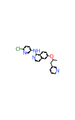 CC(Cc1cccnc1)Oc1ccc2c(Nc3ccc(Cl)nc3)nccc2c1